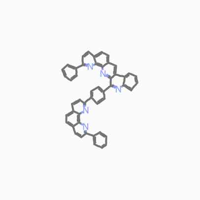 c1ccc(-c2ccc3ccc4ccc(-c5ccc(-c6nc7ccccc7c7cc8ccc9ccc(-c%10ccccc%10)nc9c8nc67)cc5)nc4c3n2)cc1